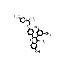 CC1=C(c2cc(C)cc(O)c2)C(c2ccc(OC[C@H](C)N3CC[C@@H](C)C3)cc2)Oc2ccc(O)cc21